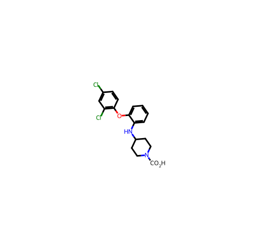 O=C(O)N1CCC(Nc2ccccc2Oc2ccc(Cl)cc2Cl)CC1